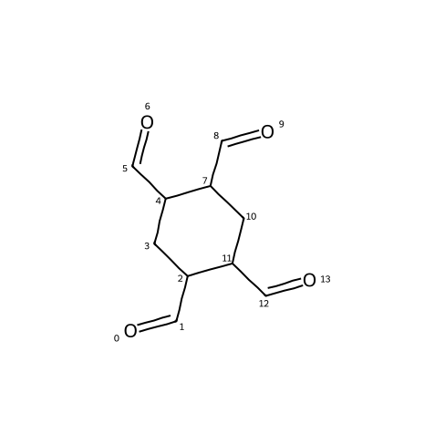 O=CC1CC(C=O)C(C=O)CC1C=O